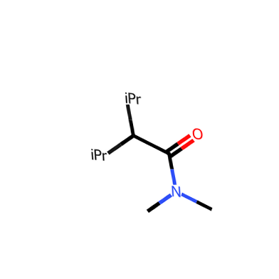 CC(C)C(C(=O)N(C)C)C(C)C